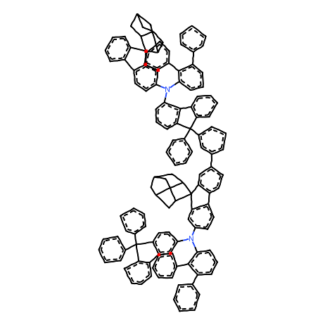 c1ccc(-c2cccc(N(c3ccc4c(c3)-c3ccccc3C4(c3ccccc3)c3ccccc3)c3ccc4c(c3)C3(c5cc(-c6cccc(C7(c8ccccc8)c8ccccc8-c8c(N(c9ccc%10c(c9)C9(c%11ccccc%11-%10)C%10CC%11CC(C%10)C9C%11)c9cccc(-c%10ccccc%10)c9-c9ccccc9)cccc87)c6)ccc5-4)C4CC5CC6CC3C64C5)c2-c2ccccc2)cc1